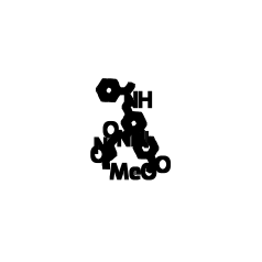 COC(=O)C1CCN(c2ccc(CNC(C)c3ccccc3)cc2NC(=O)c2cc(C)on2)CC1